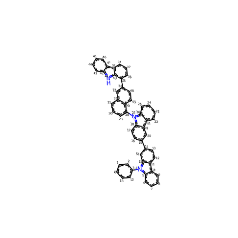 c1ccc(-n2c3ccccc3c3ccc(-c4ccc5c(c4)c4ccccc4n5-c4cccc5cc(-c6cccc7c6[nH]c6ccccc67)ccc45)cc32)cc1